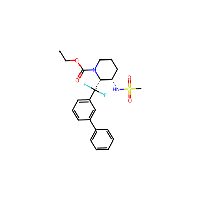 CCOC(=O)N1CCC[C@H](NS(C)(=O)=O)[C@@H]1C(F)(F)c1cccc(-c2ccccc2)c1